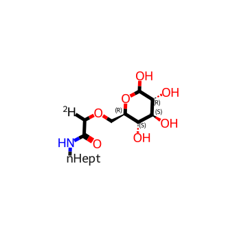 [2H]C(OC[C@H]1OC(O)[C@H](O)[C@@H](O)[C@@H]1O)C(=O)NCCCCCCC